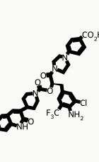 Nc1c(Cl)cc(C[C@@H](OC(=O)N2CCC(c3cc4ccccc4[nH]c3=O)CC2)C(=O)N2CCN(c3ccc(C(=O)O)cc3)CC2)cc1C(F)(F)F